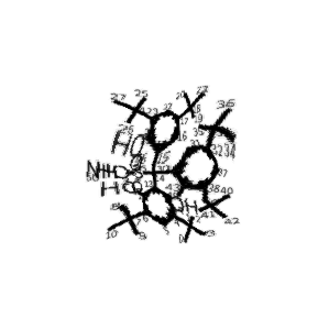 CC(C)(C)c1cc(C(C)(C)C)c(O)c(C(c2cc(C(C)(C)C)cc(C(C)(C)C)c2O)(c2cc(C(C)(C)C)cc(C(C)(C)C)c2O)S(=O)(=O)O)c1.N